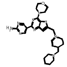 Nc1ncc(-c2nc(N3CCOCC3)c3sc(CN4CCC(CN5CCCCC5)CC4)cc3n2)cn1